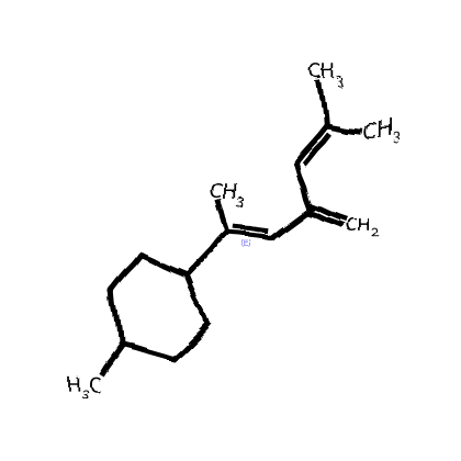 C=C(C=C(C)C)/C=C(\C)C1CCC(C)CC1